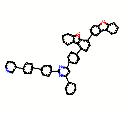 c1ccc(-c2cc(-c3ccc(-c4ccc(-c5ccc6oc7ccccc7c6c5)c5oc6ccccc6c45)cc3)nc(-c3ccc(-c4ccc(-c5cccnc5)cc4)cc3)n2)cc1